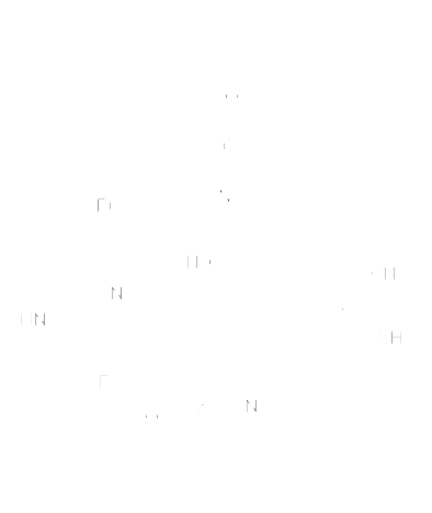 CC1(C)CC(N=C=O)CC(C)(CN=C=O)C1.CCc1c[nH]c(CC)n1